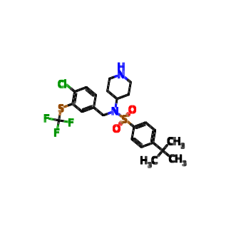 CC(C)(C)c1ccc(S(=O)(=O)N(Cc2ccc(Cl)c(SC(F)(F)F)c2)C2CCNCC2)cc1